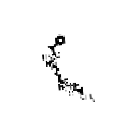 C[C@@H]1C[C@H]1C(=O)Nc1nnc(CCCCc2nnc(NC(=O)C3CC3c3ccccc3)s2)s1